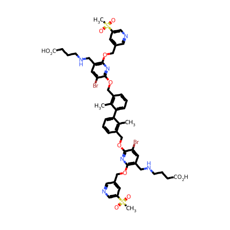 Cc1c(COc2nc(OCc3cncc(S(C)(=O)=O)c3)c(CNCCCC(=O)O)cc2Br)cccc1-c1cccc(COc2nc(OCc3cncc(S(C)(=O)=O)c3)c(CNCCCC(=O)O)cc2Br)c1C